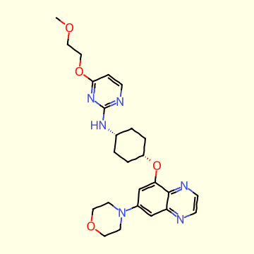 COCCOc1ccnc(N[C@H]2CC[C@@H](Oc3cc(N4CCOCC4)cc4nccnc34)CC2)n1